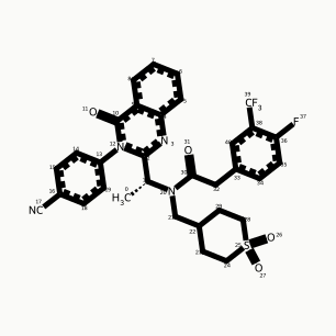 C[C@H](c1nc2ccccc2c(=O)n1-c1ccc(C#N)cc1)N(CC1CCS(=O)(=O)CC1)C(=O)Cc1ccc(F)c(C(F)(F)F)c1